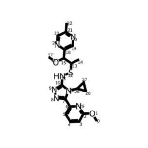 COc1cccc(-c2nnc(NSC(C)C(OC)c3cnc(C)cn3)n2C2CC2)n1